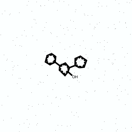 Oc1ccc(-c2ccccc2)cc1-c1ccccc1